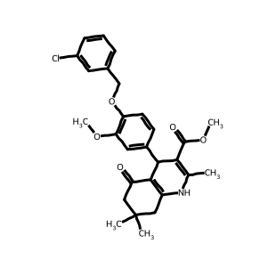 COC(=O)C1=C(C)NC2=C(C(=O)CC(C)(C)C2)C1c1ccc(OCc2cccc(Cl)c2)c(OC)c1